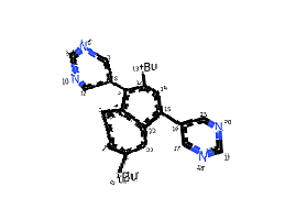 CC(C)(C)c1ccc2c(-c3cncnc3)c(C(C)(C)C)cc(-c3cncnc3)c2c1